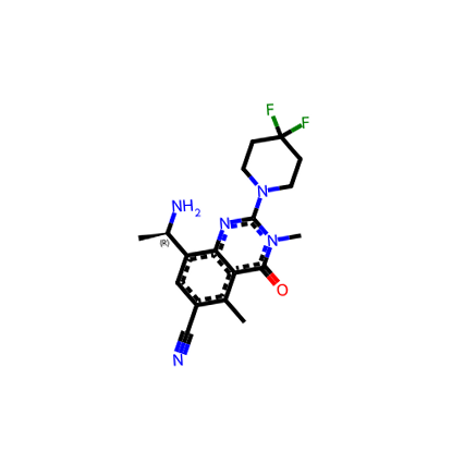 Cc1c(C#N)cc([C@@H](C)N)c2nc(N3CCC(F)(F)CC3)n(C)c(=O)c12